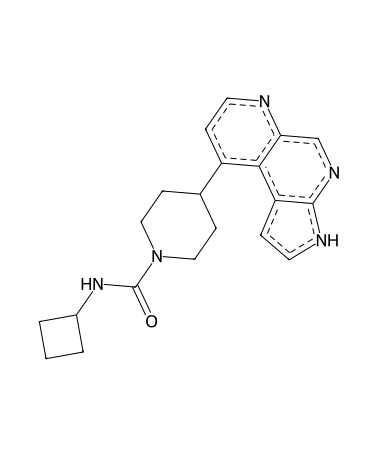 O=C(NC1CCC1)N1CCC(c2ccnc3cnc4[nH]ccc4c23)CC1